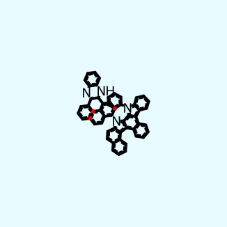 c1ccc(C2=Nc3ccccc3NC2c2ccc(-n3c4ccc5ccccc5c4c4c5ccccc5c5c6ccccc6n(-c6ccccc6)c5c43)c3ccccc23)cc1